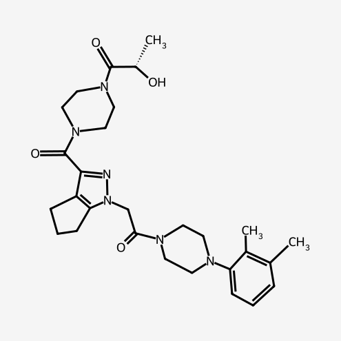 Cc1cccc(N2CCN(C(=O)Cn3nc(C(=O)N4CCN(C(=O)[C@H](C)O)CC4)c4c3CCC4)CC2)c1C